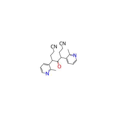 Cc1ncccc1C(CCC#N)C(=O)C(CCC#N)c1cccnc1C